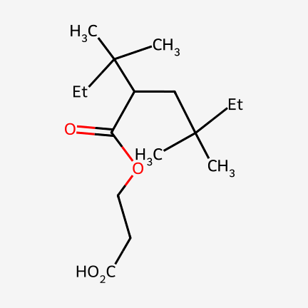 CCC(C)(C)CC(C(=O)OCCC(=O)O)C(C)(C)CC